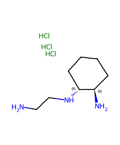 Cl.Cl.Cl.NCCN[C@@H]1CCCC[C@H]1N